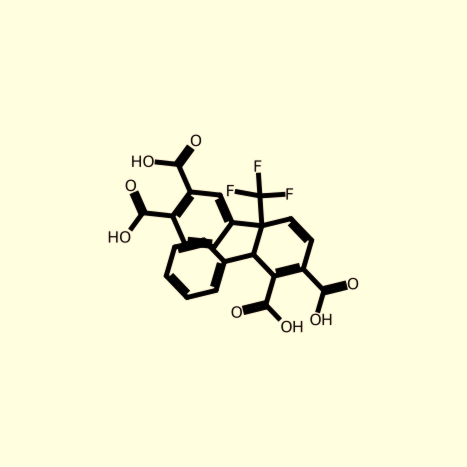 O=C(O)C1=C(C(=O)O)C(c2ccccc2)C(c2ccc(C(=O)O)c(C(=O)O)c2)(C(F)(F)F)C=C1